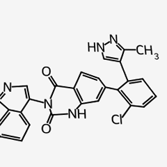 Cc1n[nH]cc1-c1cccc(Cl)c1-c1ccc2c(=O)n(-c3cncc4ccccc34)c(=O)[nH]c2c1